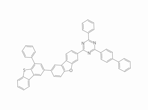 c1ccc(-c2ccc(-c3nc(-c4ccccc4)nc(-c4ccc5c(c4)oc4ccc(-c6cc(-c7ccccc7)c7sc8ccccc8c7c6)cc45)n3)cc2)cc1